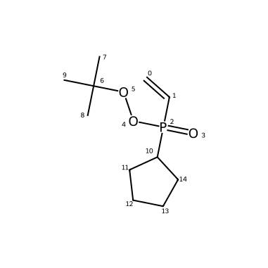 C=CP(=O)(OOC(C)(C)C)C1CCCC1